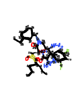 CCCC(CCC)S(=O)(=O)C[C@@H](NC(=O)c1cc(C)n[nH]1)C(=O)N(Cc1cccc(CC)c1)CC(O)[C@@H](N)Cc1cc(F)cc(F)c1